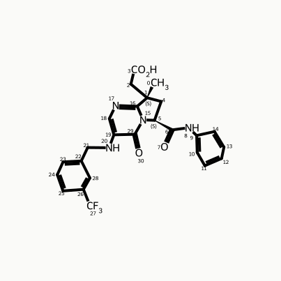 C[C@@]1(CC(=O)O)C[C@@H](C(=O)Nc2ccccc2)n2c1ncc(NCc1cccc(C(F)(F)F)c1)c2=O